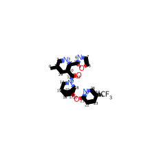 Cc1cnc(-c2ncco2)c(C(=O)N2CC3CCC2C(Oc2ccc(C(F)(F)F)cn2)C3)c1